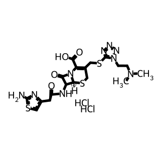 CN(C)CCn1nnnc1SCC1=C(C(=O)O)N2C(=O)C(NC(=O)Cc3csc(N)n3)[C@@H]2SC1.Cl.Cl